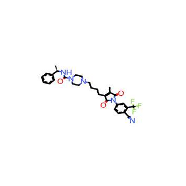 CC1=C(CCCCN2CCN(C(=O)N[C@H](C)c3ccccc3)CC2)C(=O)N(c2ccc(C#N)c(C(F)(F)F)c2)C1=O